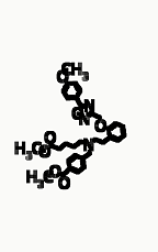 COC(=O)CCCCN(CCc1ccccc1OCc1noc(-c2ccc(OC)cc2)n1)Cc1ccc(C(=O)OC)cc1